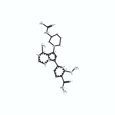 CNC(=O)c1ccc(-c2cc(N3CCCC(NC(=O)O)C3)c3c(N)ncnn23)nc1OC